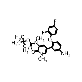 CN(C(=O)OC(C)(C)C)c1cc(-c2cc(N)ccc2Oc2ccc(F)cc2F)cn(C)c1=O